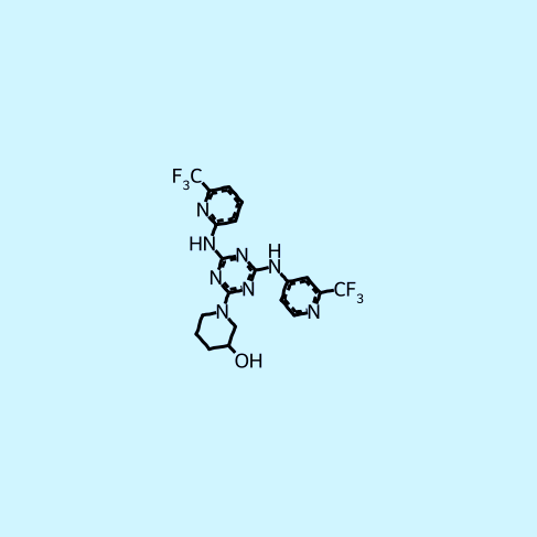 OC1CCCN(c2nc(Nc3ccnc(C(F)(F)F)c3)nc(Nc3cccc(C(F)(F)F)n3)n2)C1